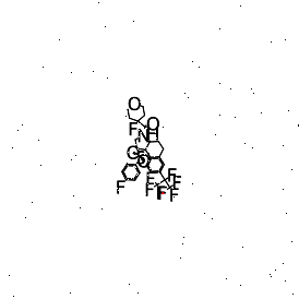 O=C(N1CC[C@@]2(S(=O)(=O)c3ccc(F)cc3)c3ccc(C(F)(C(F)(F)F)C(F)(F)F)cc3CC[C@@H]12)C1(F)CCOCC1